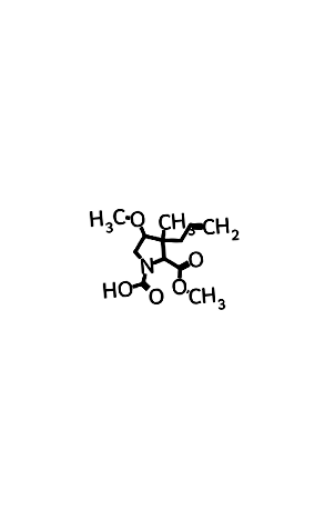 C=CCC1(C)C(OC)CN(C(=O)O)C1C(=O)OC